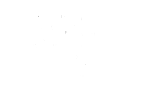 CC(F)(F)C(=O)OC1CCCCC12OCC(COC(=O)C(F)(F)C(F)(F)F)O2